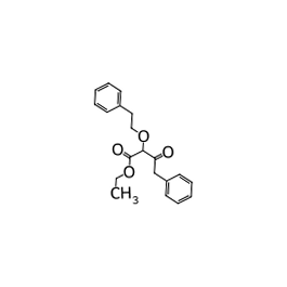 CCOC(=O)C(OCCc1ccccc1)C(=O)Cc1ccccc1